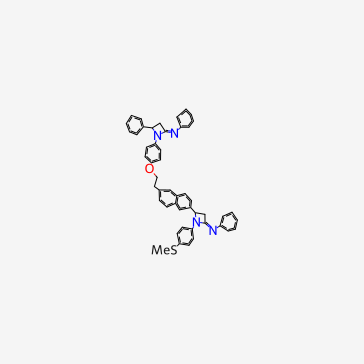 CSc1ccc(N2/C(=N/c3ccccc3)CC2c2ccc3cc(CCOc4ccc(N5/C(=N/c6ccccc6)CC5c5ccccc5)cc4)ccc3c2)cc1